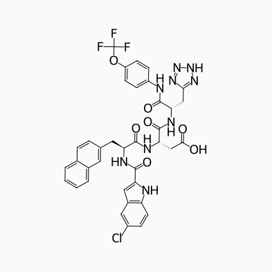 O=C(O)C[C@H](NC(=O)[C@H](Cc1ccc2ccccc2c1)NC(=O)c1cc2cc(Cl)ccc2[nH]1)C(=O)N[C@@H](Cc1nn[nH]n1)C(=O)Nc1ccc(OC(F)(F)F)cc1